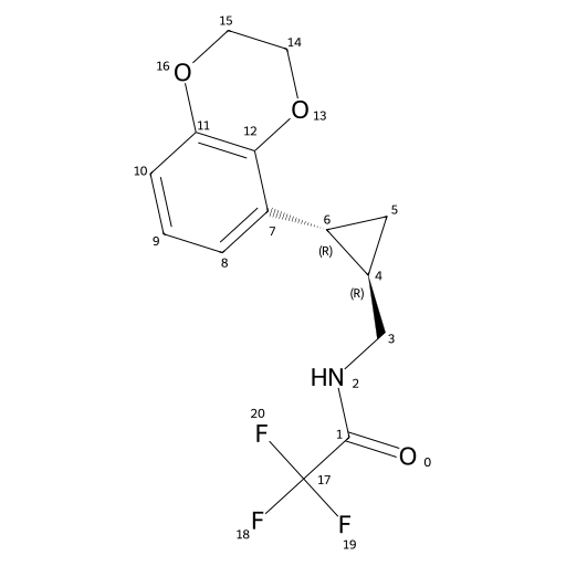 O=C(NC[C@@H]1C[C@H]1c1cccc2c1OCCO2)C(F)(F)F